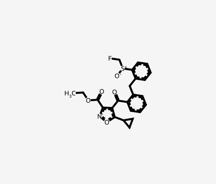 CCOC(=O)c1noc(C2CC2)c1C(=O)c1ccccc1Cc1ccccc1[S+]([O-])CF